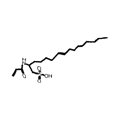 C=CC(=O)NC(CCCCCCCCCCCCCC)CS(=O)(=O)O